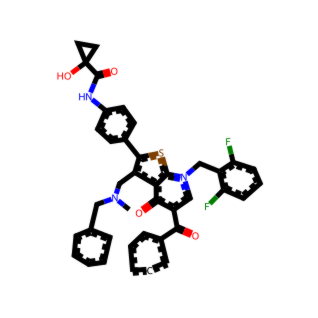 CN(Cc1ccccc1)Cc1c(-c2ccc(NC(=O)C3(O)CC3)cc2)sc2c1c(=O)c(C(=O)c1ccccc1)cn2Cc1c(F)cccc1F